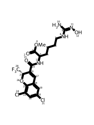 COC(=O)C(CCCCN/C(N)=N\O)NC(=O)C1=Cc2cc(Cl)cc(Cl)c2O[C@@H]1C(F)(F)F